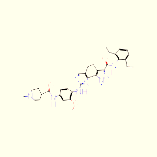 CCc1cccc(CC)c1NC(=O)c1nn(C)c2c1CCc1cnc(Nc3ccc(NC(=O)C4CCN(C)CC4)cc3OC)nc1-2